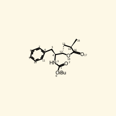 CC(C)COC(=O)N[C@@H](Cc1ccccc1)[C@@H]1C[C@@H](C)C(=O)O1